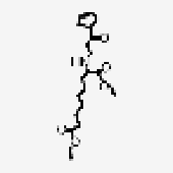 CCOC(=O)CCCCCCC(NCCC(=O)C1CC=CC1)C(=O)OCC